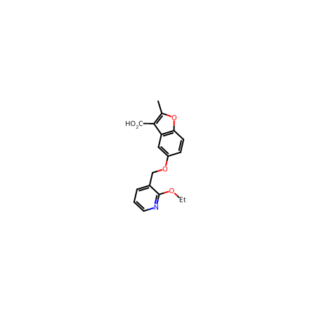 CCOc1ncccc1COc1ccc2oc(C)c(C(=O)O)c2c1